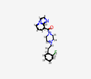 O=C(c1cccn2ccnc12)N1CCN(CCc2ccccc2F)CC1